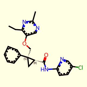 CCc1nc(C)ncc1OC[C@@]1(c2ccccc2)C[C@H]1C(=O)Nc1ccc(Cl)cn1